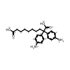 Nc1ccc(C(CCCCCCCC(=O)O)(C(=O)O)c2ccc(N)cc2)cc1